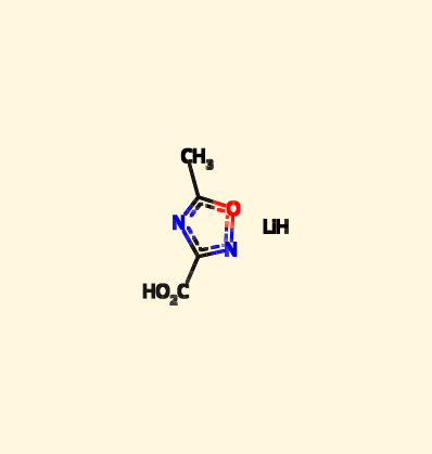 Cc1nc(C(=O)O)no1.[LiH]